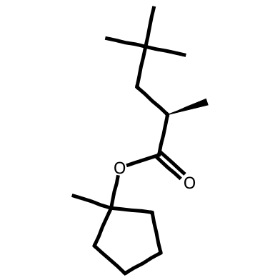 C[C@H](CC(C)(C)C)C(=O)OC1(C)CCCC1